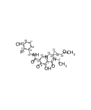 CCN1C(=O)c2c(O)c(=O)c(C(=O)NCc3cccc(Cl)c3F)cn2CC12CC2COC